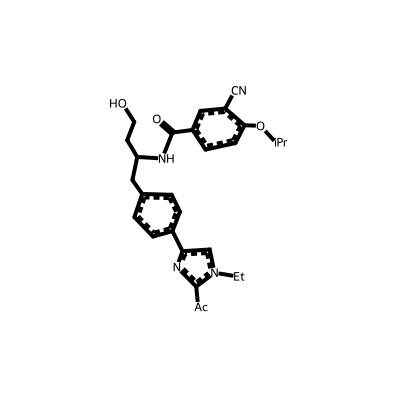 CCn1cc(-c2ccc(CC(CCO)NC(=O)c3ccc(OC(C)C)c(C#N)c3)cc2)nc1C(C)=O